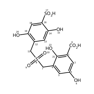 O=C(O)c1cc(O)cc(CS(=O)(=O)Cc2cc(O)c(S(=O)(=O)O)cc2O)c1O